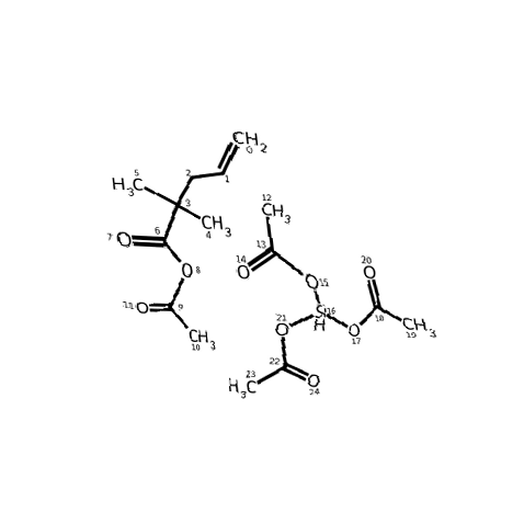 C=CCC(C)(C)C(=O)OC(C)=O.CC(=O)O[SiH](OC(C)=O)OC(C)=O